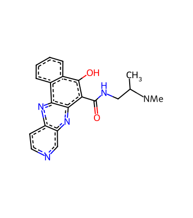 CNC(C)CNC(=O)c1c(O)c2ccccc2c2nc3ccncc3nc12